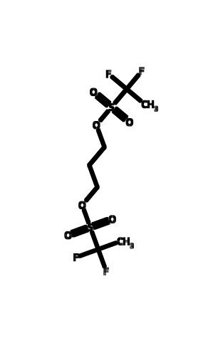 CC(F)(F)S(=O)(=O)OCCCOS(=O)(=O)C(C)(F)F